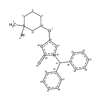 CC(C)C1(C)CCCC(Oc2cn(C(c3ccccc3)c3ccccc3)c(=O)o2)C1